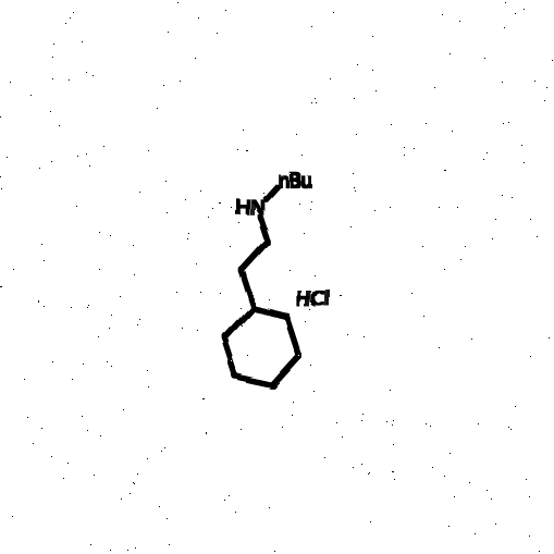 CCCCNCCC1CCCCC1.Cl